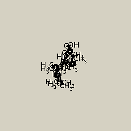 Cc1cccc(CC(C)C)c1-c1nc(NS(=O)(=O)c2cccc(C(=O)O)c2)nc(OC[C@@H](CC(C)(C)C)NCc2ncc(N(C)CC(C)(C)C)cn2)c1C